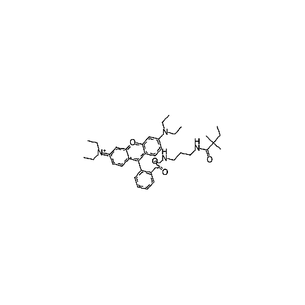 CCN(CC)c1ccc2c(-c3ccccc3S(=O)(=O)NCCCNC(=O)C(C)(C)CC)c3ccc(=[N+](CC)CC)cc-3oc2c1